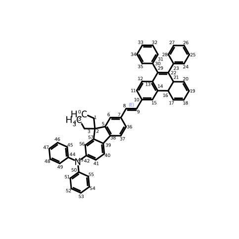 CCC1(CC)c2cc(/C=C/c3ccc4c(c3)C3C=CC=CC3C(c3ccccc3)=C4c3ccccc3)ccc2-c2ccc(N(c3ccccc3)c3ccccc3)cc21